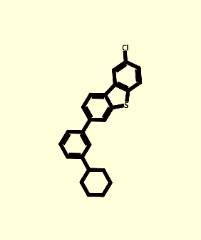 Clc1ccc2sc3cc(-c4cccc(C5CCCCC5)c4)ccc3c2c1